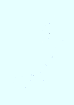 COc1cc(Nc2nc(C(=O)NCc3ccc(F)cc3)cs2)ccc1-n1cnc(C)c1